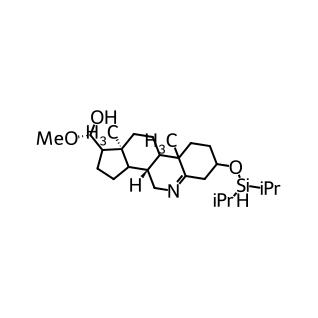 CO[C@H](O)C1CCC2[C@H]3CN=C4CC(O[SiH](C(C)C)C(C)C)CCC4(C)C3CC[C@@]21C